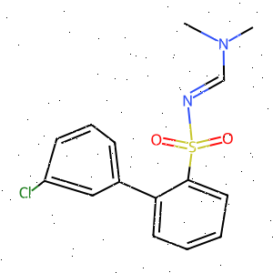 CN(C)/C=N/S(=O)(=O)c1ccccc1-c1cccc(Cl)c1